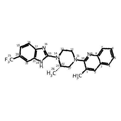 Cc1cc2ccccc2nc1N1CCN(c2nc3ccc(C(F)(F)F)cc3[nH]2)[C@@H](C)C1